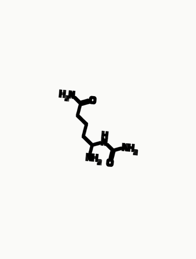 NC(=O)CCCC(N)NC(N)=O